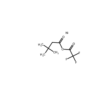 CC(C)(C)CC(=O)OC(=O)C(F)(F)F.[Ni]